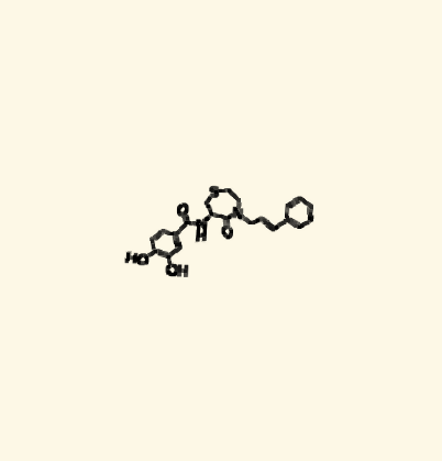 O=C(N[C@H]1CSCCN(CC=Cc2ccccc2)C1=O)c1ccc(O)c(O)c1